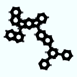 c1ccc(-c2nc(-c3ccccc3)nc(-c3ccc4cc(-n5c6ccccc6c6cc7c8c9ccccc9ccc8n(-c8cccc9ccccc89)c7cc65)ccc4c3)n2)cc1